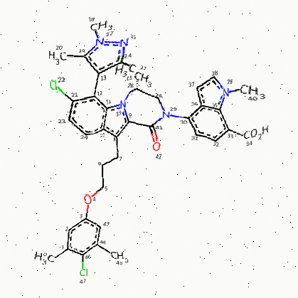 Cc1cc(OCCCc2c3n(c4c(-c5c(C)nn(C)c5C)c(Cl)ccc24)[C@H](C)CN(c2ccc(C(=O)O)c4c2ccn4C)C3=O)cc(C)c1Cl